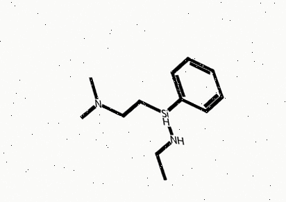 CCN[SiH](CCN(C)C)c1ccccc1